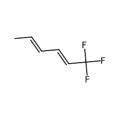 CC=CC=CC(F)(F)F